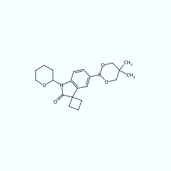 CC1(C)COB(c2ccc3c(c2)C2(CCC2)C(=O)N3C2CCCCO2)OC1